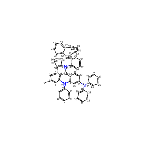 Cc1cc2c3c(c1)N(c1ccccc1)c1cc(N(c4ccccc4)c4ccccc4)ccc1B3N1c3ccccc3[Si]3(c4ccccc4-c4ccccc43)c3cccc-2c31